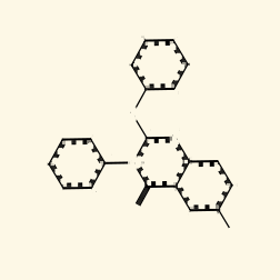 O=c1c2cc(Cl)ccc2nc(Nc2ccccc2)n1-c1ccccc1